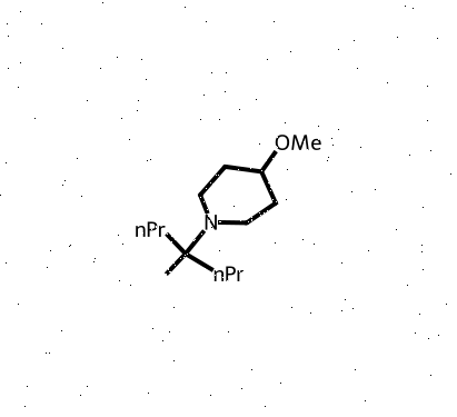 CCCC(C)(CCC)N1CCC(OC)CC1